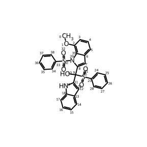 COc1cccc2cc(C(O)(c3cc4ccccc4[nH]3)S(=O)(=O)c3ccccc3)n(S(=O)(=O)c3ccccc3)c12